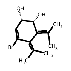 CC(C)=C1C(Br)=C[C@H](O)[C@H](O)C1=C(C)C